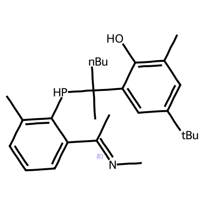 CCCCC(C)(Pc1c(C)cccc1/C(C)=N/C)c1cc(C(C)(C)C)cc(C)c1O